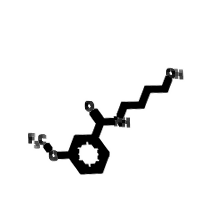 O=C(NCCCCO)c1cccc(OC(F)(F)F)c1